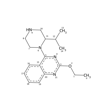 CCOc1nc(N2CCNCC2C(C)C)c2ccccc2n1